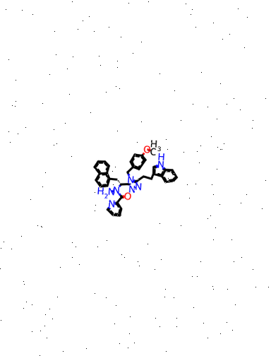 COc1ccc(Cn2c(CCc3c[nH]c4ccccc34)nnc2[C@@H](Cc2cccc3ccccc23)N(N)C(=O)c2ccccn2)cc1